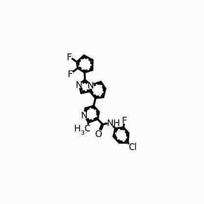 Cc1ncc(-c2cccn3c(-c4cccc(F)c4F)ncc23)cc1C(=O)Nc1ccc(Cl)cc1F